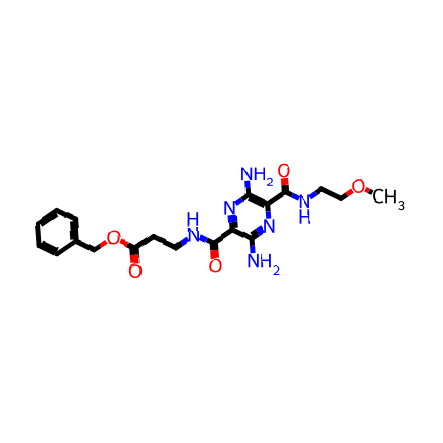 COCCNC(=O)c1nc(N)c(C(=O)NCCC(=O)OCc2ccccc2)nc1N